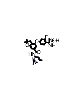 CC=C/C(=N\N(C)C)NC(=O)c1cc(Oc2ccc(C(=N)NO)c(F)c2)c2c(c1)OC(C)(C)C2